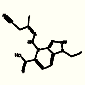 CCN1NC=C2C1=CC=C(C(=O)O)N2NN=C(C)CC#N